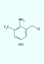 Cl.Nc1c(CCl)cccc1C(F)(F)F